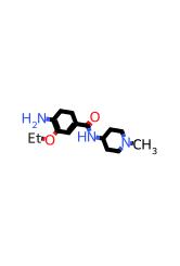 CCOC1=C(N)CCC(C(=O)NC2CCN(C)CC2)=C1